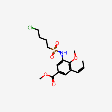 C/C=C\c1cc(C(=O)OC)cc(NS(=O)(=O)CCCCCl)c1OC